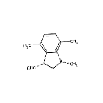 Cc1ccc(C)c2c1C(C=O)CN2C